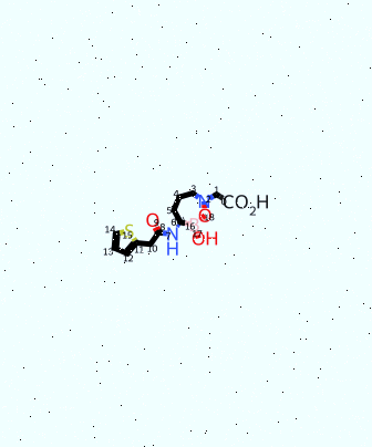 O=C(O)CN1CCC[C@H](NC(=O)Cc2cccs2)B(O)O1